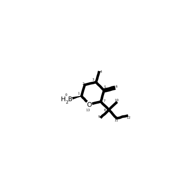 B[C@H]1CC(C)C(=C)C(C(C)(C)CC)O1